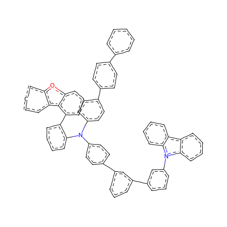 c1ccc(-c2ccc(-c3ccc(N(c4ccc(-c5cccc(-c6cccc(-n7c8ccccc8c8ccccc87)c6)c5)cc4)c4ccccc4-c4cccc5oc6ccccc6c45)cc3)cc2)cc1